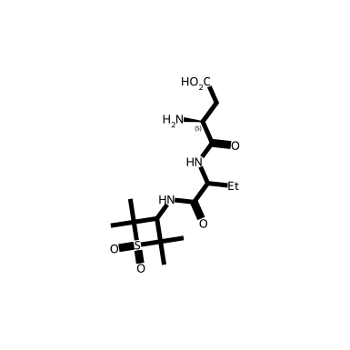 CCC(NC(=O)[C@@H](N)CC(=O)O)C(=O)NC1C(C)(C)S(=O)(=O)C1(C)C